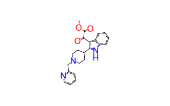 COC(=O)C(=O)c1c(C2CCN(Cc3ccccn3)CC2)[nH]c2ccccc12